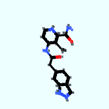 CC(C)(C)c1c(NC(=O)Cc2ccc3cn[nH]c3c2)ccnc1C(N)=O